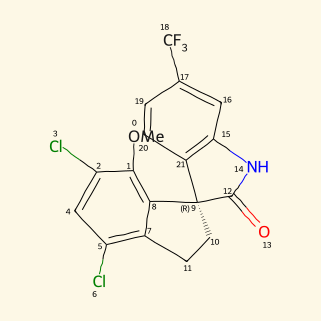 COc1c(Cl)cc(Cl)c2c1[C@]1(CC2)C(=O)Nc2cc(C(F)(F)F)ccc21